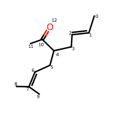 C/C=C/CC(CC=C(C)C)C(C)=O